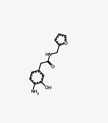 Nc1ccc(CC(=O)NCc2ccco2)cc1O